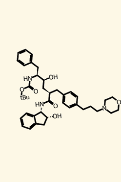 CC(C)(C)OC(=O)N[C@@H](Cc1ccccc1)[C@@H](O)C[C@@H](Cc1ccc(CCCN2CCOCC2)cc1)C(=O)N[C@H]1c2ccccc2C[C@H]1O